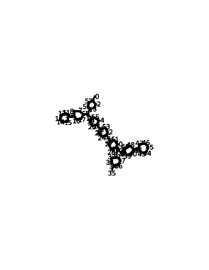 Cc1ccc(C(c2ccc(-c3ccccc3)cc2)c2ccc(-c3ccc(-c4ccc(N(c5ccc(C)cc5)c5ccc(-c6ccccc6)cc5)cc4)cc3)cc2)cc1